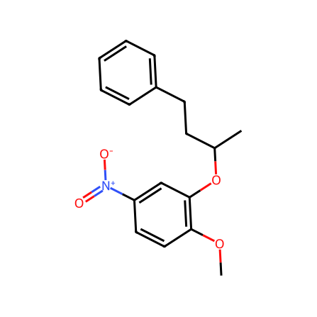 COc1ccc([N+](=O)[O-])cc1OC(C)CCc1ccccc1